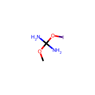 COC(N)(N)OI